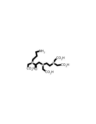 NCCCN(CC(=O)O)C(=O)CN(CCN(CC(=O)O)CC(=O)O)CC(=O)O